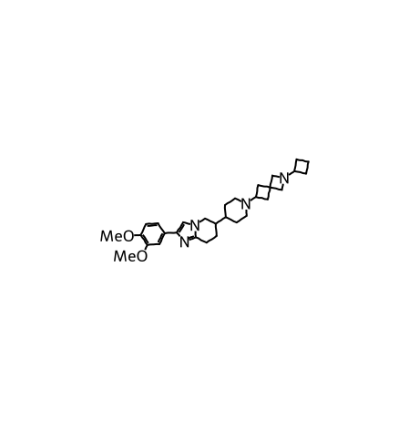 COc1ccc(-c2cn3c(n2)CCC(C2CCN(C4CC5(C4)CN(C4CCC4)C5)CC2)C3)cc1OC